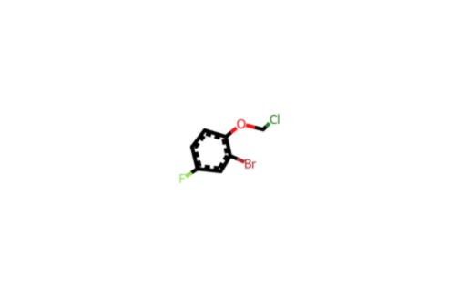 Fc1ccc(OCCl)c(Br)c1